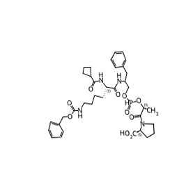 C[C@H](O[PH](=O)OCC(Cc1ccccc1)NC(=O)[C@H](CCCCNC(=O)OCc1ccccc1)NC(=O)C1CCC1)C(=O)N1CCC[C@H]1C(=O)O